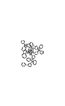 c1ccc(-c2cccc([Si](c3ccccc3)(c3ccccc3)c3cccc(-c4nc(-n5c6ccccc6c6ccc([Si](c7ccccc7)(c7ccccc7)c7ccccc7)cc65)nc(-n5c6ccccc6c6ccc7c(c8ccccc8n7-c7ccccc7)c65)n4)c3)c2)cc1